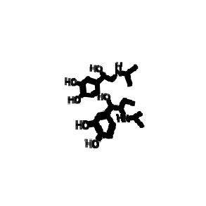 CC(C)NCC(O)c1ccc(O)c(O)c1.CCC(NC(C)C)C(O)c1ccc(O)c(O)c1